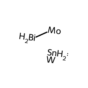 [Mo][BiH2].[SnH2].[W]